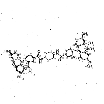 C/N=C1\C=CC2=C(c3ccc(C(=O)NC4CCC(NC(=O)c5ccc(-c6c7ccc(=N)cc-7oc7cc(N)ccc67)c(C(=O)OC)c5)CC4)cc3C)c3ccc(N)cc3S(C)(C)C2=C1